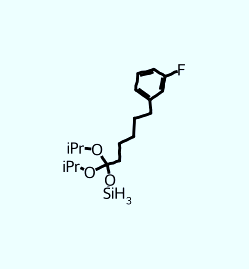 CC(C)OC(CCCCCc1cccc(F)c1)(O[SiH3])OC(C)C